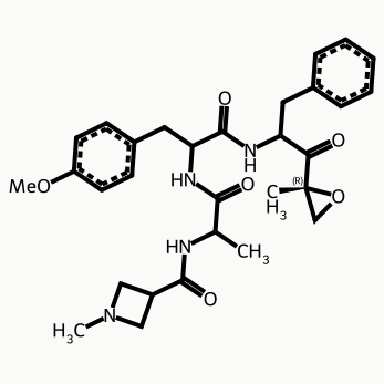 COc1ccc(CC(NC(=O)C(C)NC(=O)C2CN(C)C2)C(=O)NC(Cc2ccccc2)C(=O)[C@@]2(C)CO2)cc1